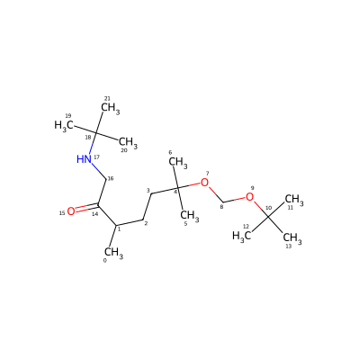 CC(CCC(C)(C)OCOC(C)(C)C)C(=O)CNC(C)(C)C